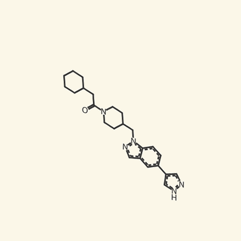 O=C(CC1CCCCC1)N1CCC(Cn2ncc3cc(-c4cn[nH]c4)ccc32)CC1